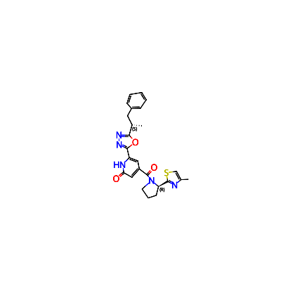 Cc1csc([C@H]2CCCN2C(=O)c2cc(-c3nnc([C@@H](C)Cc4ccccc4)o3)[nH]c(=O)c2)n1